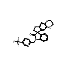 O=C1N(Cc2ccc(C(F)(F)F)cn2)c2ccccc2C12COc1cc3c(cc12)OCCO3